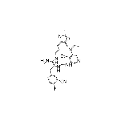 C=c1oc(C)n/c1=C/C=C/N/C(N)=C(/Cc1ccc(F)c(C#N)c1)NCNc1cncc(/N=C\C)c1CC